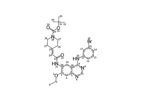 CCOc1cc2ncnc(Nc3cccc(Br)c3)c2cc1NC(=O)C=C1CCN(C(=O)OC(C)(C)C)CC1